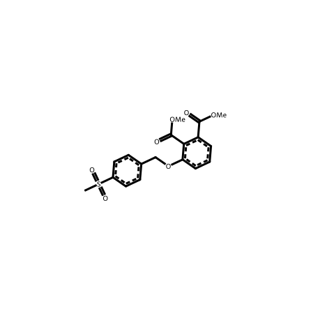 COC(=O)c1cccc(OCc2ccc(S(C)(=O)=O)cc2)c1C(=O)OC